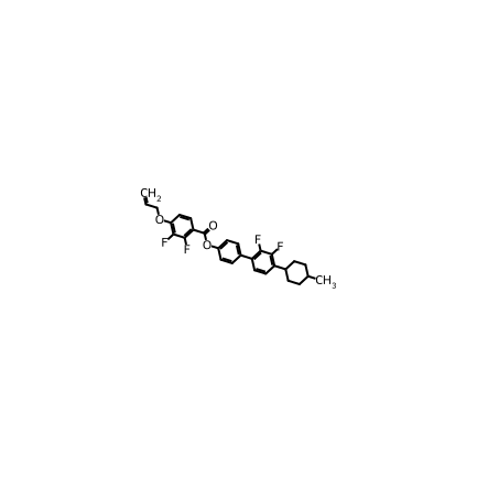 C=CCOc1ccc(C(=O)Oc2ccc(-c3ccc(C4CCC(C)CC4)c(F)c3F)cc2)c(F)c1F